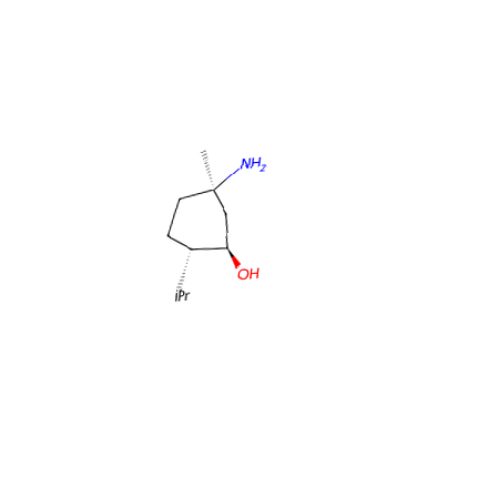 CC(C)[C@@H]1CC[C@@](C)(N)C[C@H]1O